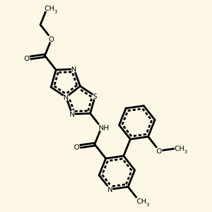 CCOC(=O)c1cn2nc(NC(=O)c3cnc(C)cc3-c3ccccc3OC)sc2n1